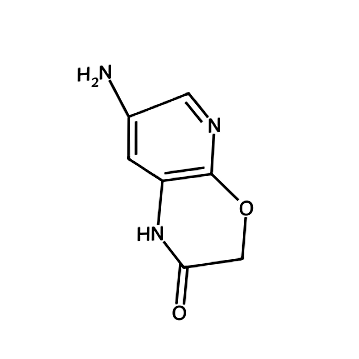 Nc1cnc2c(c1)NC(=O)CO2